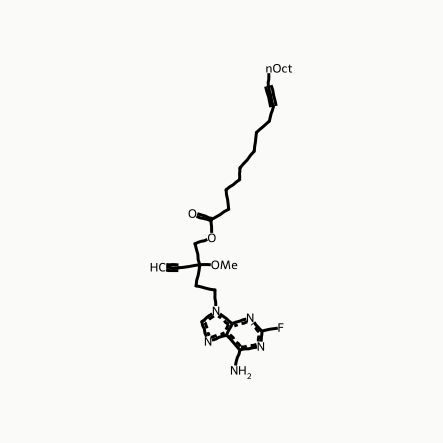 C#CC(CCn1cnc2c(N)nc(F)nc21)(COC(=O)CCCCCCCC#CCCCCCCCC)OC